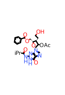 CC(=O)OC1[C@@H](CCO)[C@@H](COC(=O)c2ccccc2)O[C@H]1n1cnc2c(=O)[nH]c(NC(=O)C(C)C)nc21